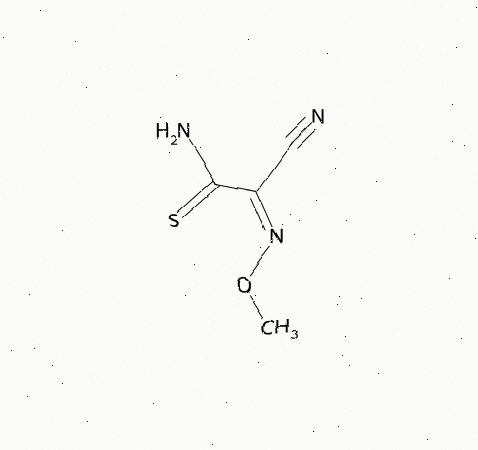 CON=C(C#N)C(N)=S